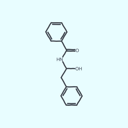 O=C(NC(O)Cc1ccccc1)c1ccccc1